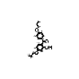 CCCOc1ccc(C(=O)c2ccc(OCCC)cc2O)cc1